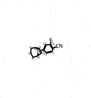 N#Cc1ccc(N2C3CCCC2CC3)cc1F